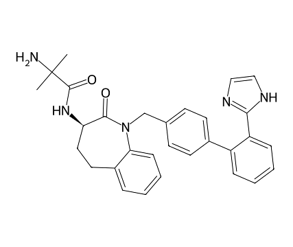 CC(C)(N)C(=O)N[C@@H]1CCc2ccccc2N(Cc2ccc(-c3ccccc3-c3ncc[nH]3)cc2)C1=O